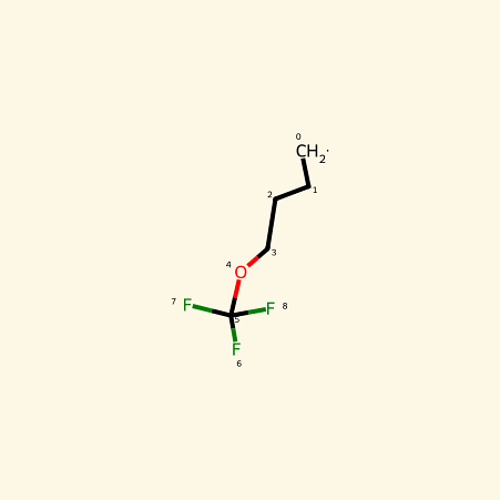 [CH2]CCCOC(F)(F)F